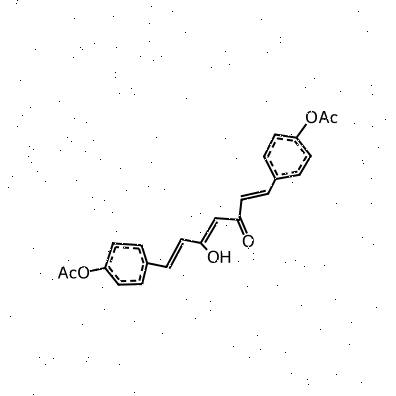 CC(=O)Oc1ccc(/C=C/C(=O)/C=C(O)/C=C/c2ccc(OC(C)=O)cc2)cc1